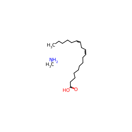 CCCCC/C=C\C/C=C\CCCCCCCC(=O)O.CN